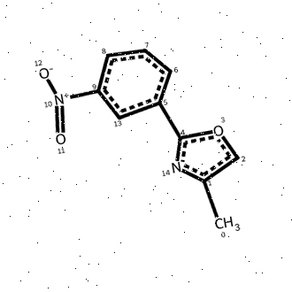 Cc1coc(-c2cccc([N+](=O)[O-])c2)n1